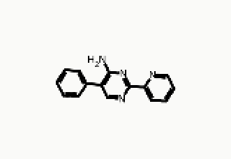 Nc1nc(-c2ccccn2)ncc1-c1ccccc1